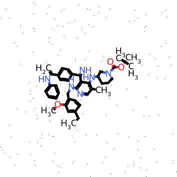 C=C(Nc1ccccc1)c1ccc(C(=N)c2c(NCc3ccc(CC)cc3OC)ncc(C)c2NC2CCCN(C(=O)OC(C)(C)C)C2)cc1